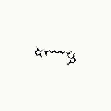 O=C(OC=CCCCOC(=O)ON1C(=O)CCC1=O)ON1C(=O)CCC1=O